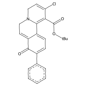 CC(C)(C)OC(=O)C1=C2C3=CC=C(c4ccccc4)C(=O)C3=CCN2CC=C1Cl